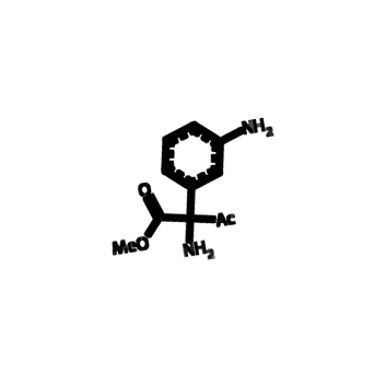 COC(=O)C(N)(C(C)=O)c1cccc(N)c1